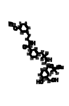 CCOc1cccc(CCNC(=O)c2cccc(CC(C)(C)NC[C@H](O[Si](C)(C)C(C)(C)C)c3ccc(O)c(CO)c3)c2)c1